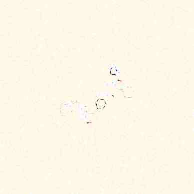 CCC(=O)N[C@H](Cc1ccc(NC(=O)[C@@H](NC(=O)c2ccnn2C)C2CCCCC2)cc1)C(=O)N1CCN2CCCC[C@H]2C1